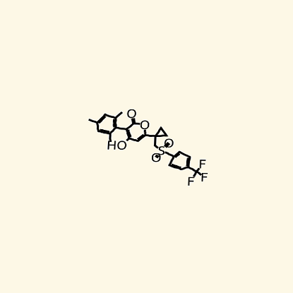 Cc1cc(C)c(-c2c(O)cc(C3(CS(=O)(=O)c4ccc(C(F)(F)F)cc4)CC3)oc2=O)c(C)c1